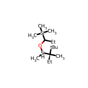 CCC(O[SiH](C)[C@](C)(CC)C(C)(C)C)[Si](C)(C)C